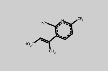 CCCc1nc(C(F)(F)F)ccc1C(C)=CC(=O)O